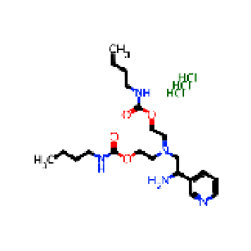 CCCCNC(=O)OCCN(CCOC(=O)NCCCC)CC(N)c1cccnc1.Cl.Cl.Cl